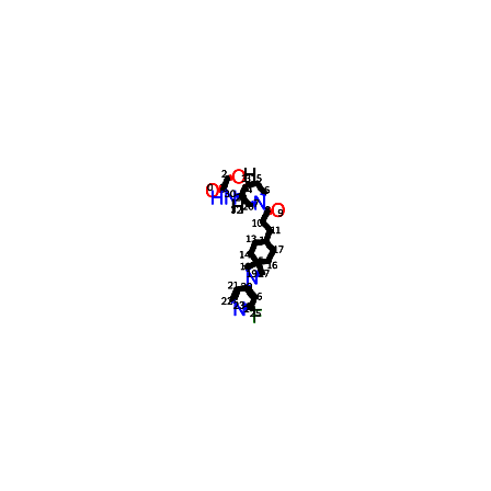 O=C1CO[C@H]2CCN(C(=O)CCC3CCC4(CC3)CN(c3ccnc(F)c3)C4)C[C@H]2N1